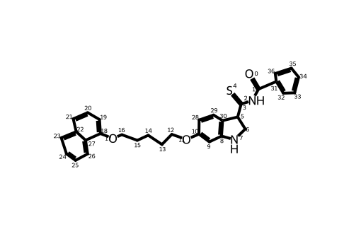 O=C(NC(=S)C1CNc2cc(OCCCCCOc3cccc4ccccc34)ccc21)c1ccccc1